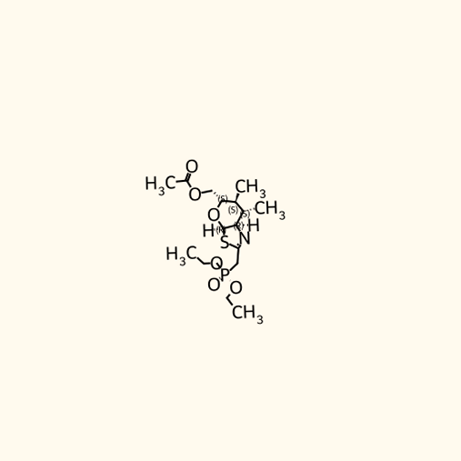 CCOP(=O)(CC1=N[C@@H]2[C@@H](C)[C@H](C)[C@@H](COC(C)=O)O[C@@H]2S1)OCC